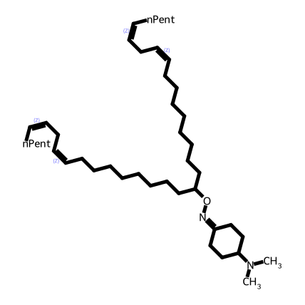 CCCCC/C=C\C/C=C\CCCCCCCCC(CCCCCCCC/C=C\C/C=C\CCCCC)ON=C1CCC(N(C)C)CC1